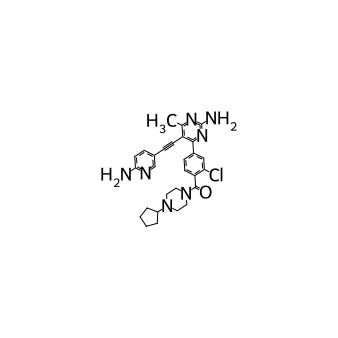 Cc1nc(N)nc(-c2ccc(C(=O)N3CCN(C4CCCC4)CC3)c(Cl)c2)c1C#Cc1ccc(N)nc1